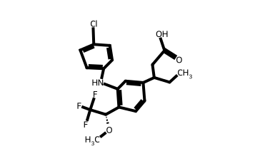 CCC(CC(=O)O)c1ccc([C@H](OC)C(F)(F)F)c(Nc2ccc(Cl)cc2)c1